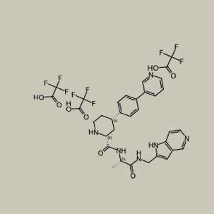 C[C@H](NC(=O)[C@H]1C[C@@H](c2ccc(-c3cccnc3)cc2)CCN1)C(=O)NCc1cc2cnccc2[nH]1.O=C(O)C(F)(F)F.O=C(O)C(F)(F)F.O=C(O)C(F)(F)F